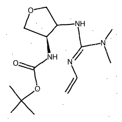 C=C/N=C(/NC1COC[C@@H]1NC(=O)OC(C)(C)C)N(C)C